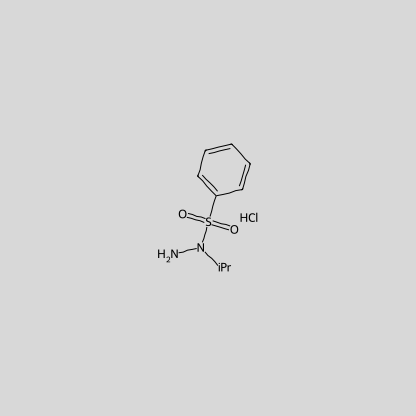 CC(C)N(N)S(=O)(=O)c1ccccc1.Cl